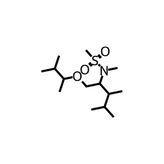 CC(C)C(C)OCC(C(C)C(C)C)N(C)S(C)(=O)=O